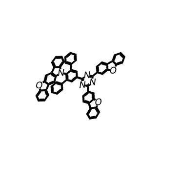 c1ccc(-c2cc(-c3nc(-c4ccc5c(c4)oc4ccccc45)nc(-c4ccc5c(c4)oc4ccccc45)n3)cc(-c3ccccc3)c2-n2c3ccccc3c3cc4oc5ccccc5c4cc32)cc1